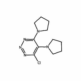 Clc1nnnc(N2CCCC2)c1N1CCCC1